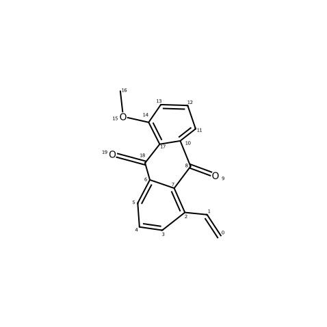 C=Cc1cccc2c1C(=O)c1cccc(OC)c1C2=O